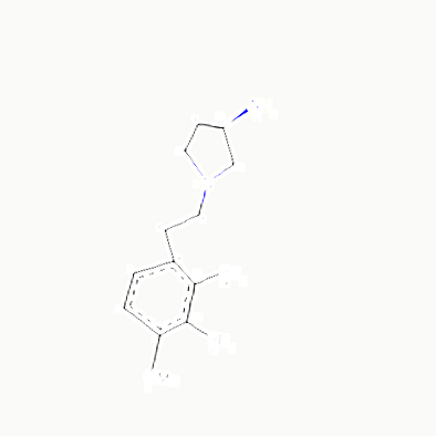 COc1ccc(CCN2CC[C@@H](N)C2)c(C)c1C